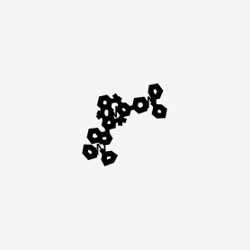 CC1(C)c2cccc3c2N2c4c1cc(-c1ccc(N(c5ccccc5)c5ccccc5)cc1)cc4C(C)(C)c1cc(-c4ccc(N(c5ccccc5)c5ccccc5)c5ccccc45)cc(c12)C3(C)C